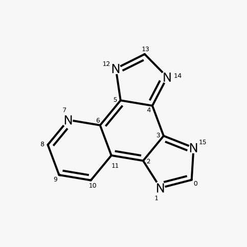 C1=Nc2c(c3c(c4ncccc24)N=CN=3)=N1